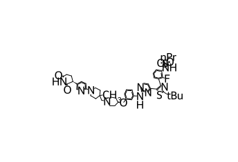 CCCS(=O)(=O)Nc1cccc(-c2nc(C(C)(C)C)sc2-c2ccnc(Nc3cccc(OC4CCN(CC5(C)CCN(c6ccc([C@@H]7CCC(=O)NC7=O)cn6)CC5)CC4)c3)n2)c1F